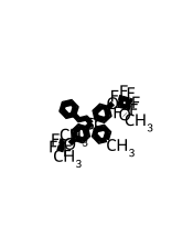 COC1(F)C(F)(F)C(F)(F)C1(F)Oc1ccc([Si](CCc2ccccc2)(c2ccc(C)cc2)c2ccc(OC(C)(F)C(C)(F)F)cc2)cc1